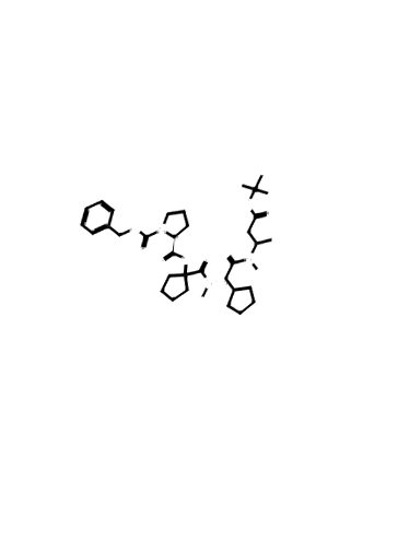 CC(CC(=O)OC(C)(C)C)N(C)C(=O)[C@H](C1CCCC1)N(C)C(=O)C1(NC(=O)[C@@H]2CCCN2C(=O)OCc2ccccc2)CCCC1